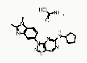 Cc1nc2cc(-n3nnc4cnc(NC5CCCC5)nc43)ccc2n1C.NC(=O)O